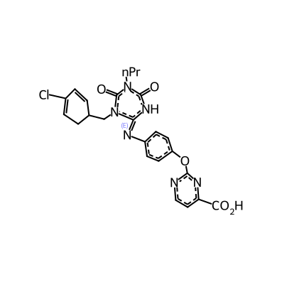 CCCn1c(=O)[nH]/c(=N\c2ccc(Oc3nccc(C(=O)O)n3)cc2)n(CC2C=CC(Cl)=CC2)c1=O